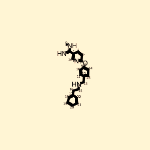 CNC(=N)c1ccc(Oc2ccc(CNCCc3ccccc3)cc2)nc1